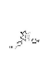 CCOC(=O)c1ccc(-c2nc(NCc3ccc(F)cc3)c3c(CC)nn(C)c3n2)cc1